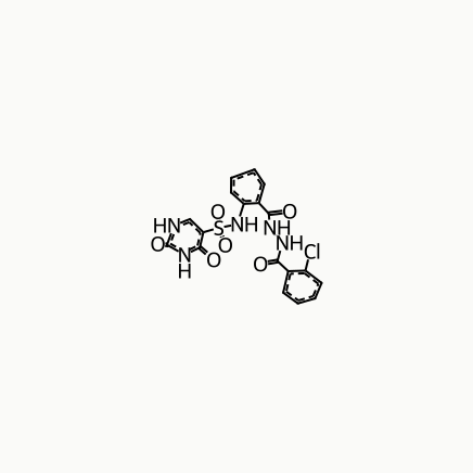 O=C(NNC(=O)c1ccccc1NS(=O)(=O)c1c[nH]c(=O)[nH]c1=O)c1ccccc1Cl